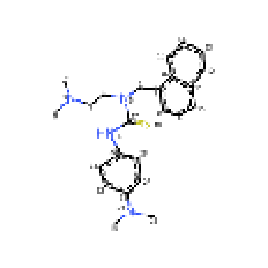 CN(C)CCN(Cc1cccc2ccccc12)C(=S)Nc1ccc(N(C)C)cc1